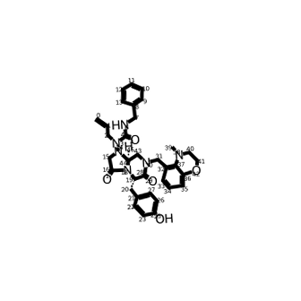 C=CCN(C(=O)NCc1ccccc1)N1CC(=O)N2[C@@H](Cc3ccc(O)cc3)C(=O)N(Cc3cccc4c3N(C)CCO4)C[C@@H]21